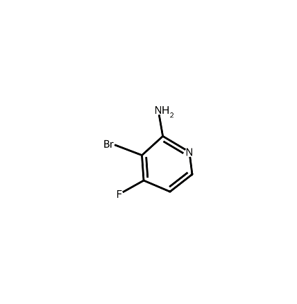 Nc1nccc(F)c1Br